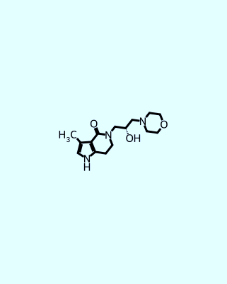 Cc1c[nH]c2c1C(=O)N(C[C@@H](O)CN1CCOCC1)CC2